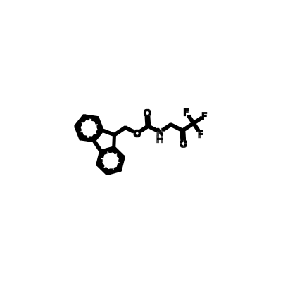 O=C(NCC(=O)C(F)(F)F)OCC1c2ccccc2-c2ccccc21